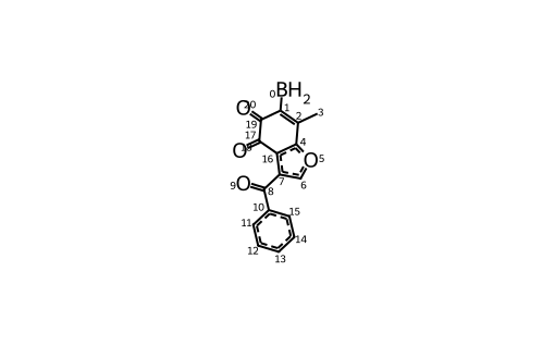 BC1=C(C)c2occ(C(=O)c3ccccc3)c2C(=O)C1=O